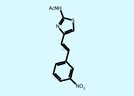 CC(=O)Nc1nc(/C=C/c2cccc([N+](=O)[O-])c2)cs1